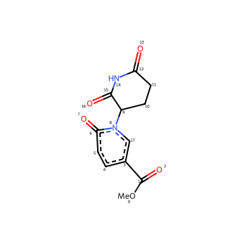 COC(=O)c1ccc(=O)n(C2CCC(=O)NC2=O)c1